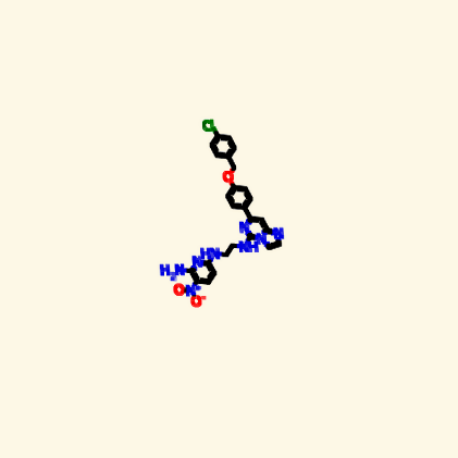 Nc1nc(NCCNc2nc(-c3ccc(OCc4ccc(Cl)cc4)cc3)cc3nccn23)ccc1[N+](=O)[O-]